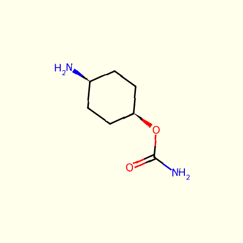 NC(=O)O[C@H]1CC[C@@H](N)CC1